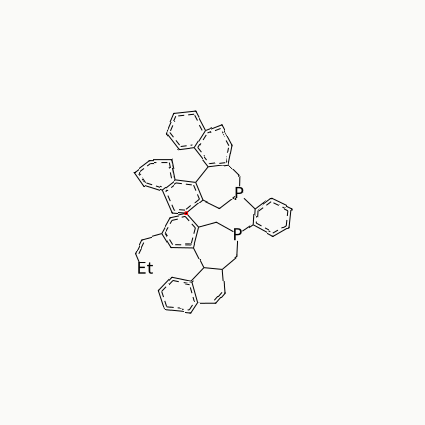 CC/C=C\c1ccc2c(c1)C1c3ccccc3C=CC1CP(c1ccccc1P1Cc3ccc4ccccc4c3-c3c(ccc4ccccc34)C1)C2